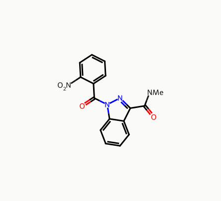 CNC(=O)c1nn(C(=O)c2ccccc2[N+](=O)[O-])c2ccccc12